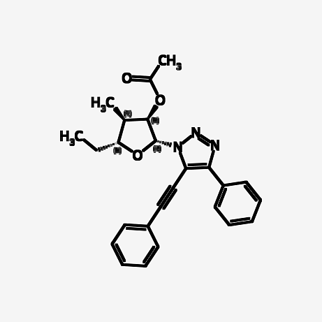 CC[C@H]1O[C@@H](n2nnc(-c3ccccc3)c2C#Cc2ccccc2)[C@H](OC(C)=O)[C@@H]1C